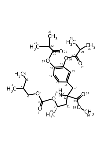 CCC(C)COC(=O)O[C@@H](C)CC(N)(Cc1ccc(OC(=O)C(C)C)c(OC(=O)C(C)C)c1)C(=O)OC